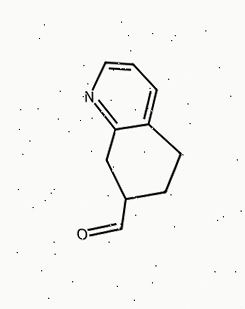 O=CC1CCc2cccnc2C1